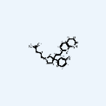 O=C(O)CCCN1CCC(CCc2ccc3c(n2)NCCC3)(c2cccc(Br)c2)C1